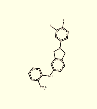 O=C(O)c1ccccc1Nc1ccc2c(c1)CN(c1ccc(F)c(F)c1)C2